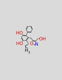 CCc1c(O)cc(O)c(-c2ccccc2)c1Cc1ocnc1CO